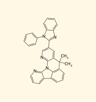 CC1(C)c2cc(-c3nc4ccccc4n3-c3ccccc3)cnc2-n2c3ncccc3c3cccc1c32